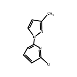 Cc1ccn(-c2cccc(Cl)n2)n1